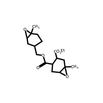 CCOC(=O)C1CC2(C)OC2CC1C(=O)OCC1CCC2(C)OC2C1